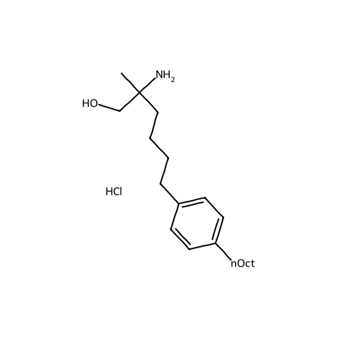 CCCCCCCCc1ccc(CCCCC(C)(N)CO)cc1.Cl